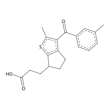 Cc1cccc(C(=O)c2c(C)sc3c2CCC3CCC(=O)O)c1